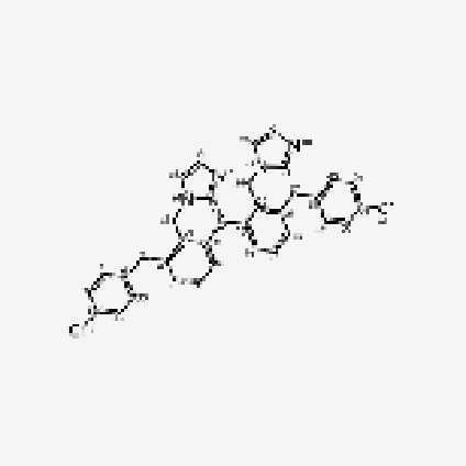 Clc1ccc(Cc2cccc(Sc3cccc(Cc4ccc(Cl)cc4)c3Cn3ccnc3)c2Cn2ccnc2)cc1